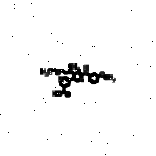 CCOCCN(C)c1nc(Nc2cccc(OC)c2)ncc1-c1cncc(C(=O)O)c1